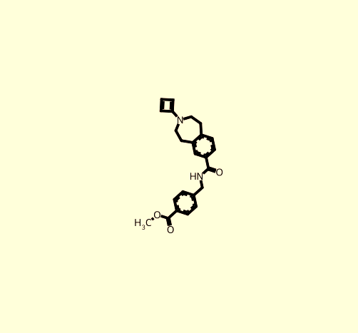 COC(=O)c1ccc(CNC(=O)c2ccc3c(c2)CCN(C2=CC=C2)CC3)cc1